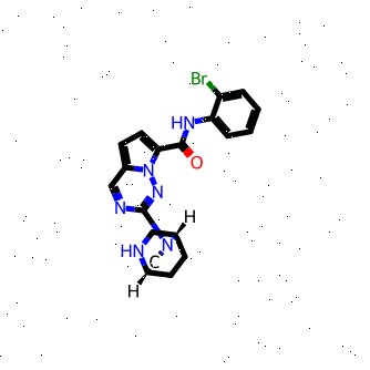 O=C(Nc1ccccc1Br)c1ccc2cnc(N3C[C@@H]4CC[C@H]3CN4)nn12